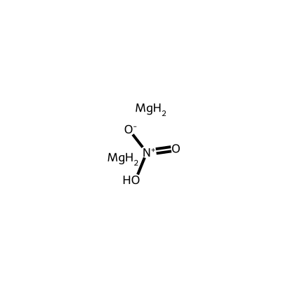 O=[N+]([O-])O.[MgH2].[MgH2]